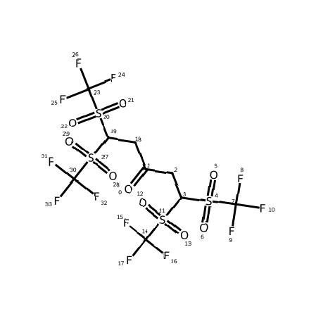 O=C(CC(S(=O)(=O)C(F)(F)F)S(=O)(=O)C(F)(F)F)CC(S(=O)(=O)C(F)(F)F)S(=O)(=O)C(F)(F)F